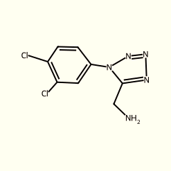 NCc1nnnn1-c1ccc(Cl)c(Cl)c1